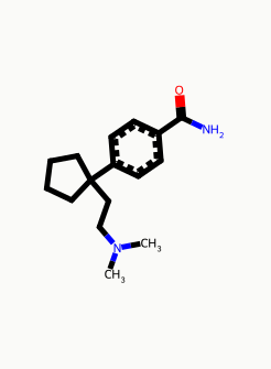 CN(C)CCC1(c2ccc(C(N)=O)cc2)CCCC1